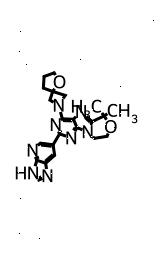 CC1(C)OCCn2c1nc1c(N3CC4(CCCO4)C3)nc(-c3cnc4[nH]cnc4c3)nc12